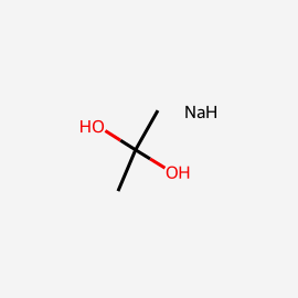 CC(C)(O)O.[NaH]